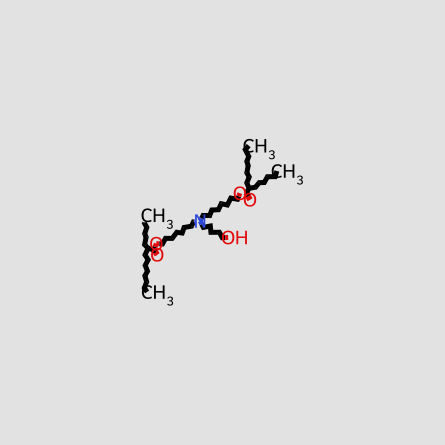 CCCCCCCCC(CCCCCC)C(=O)OCCCCCCCCN(CCCCCO)CCCCCCCCOC(=O)C(CCCCCC)CCCCCCCC